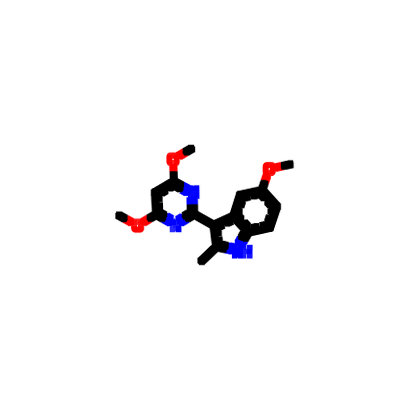 COc1ccc2[nH]c(C)c(-c3nc(OC)cc(OC)n3)c2c1